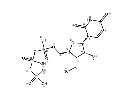 N#CC[C@H]1[C@@H](O)[C@H](n2ccc(=O)[nH]c2=O)O[C@@H]1COP(=O)(O)OP(=O)(O)OP(=O)(O)O